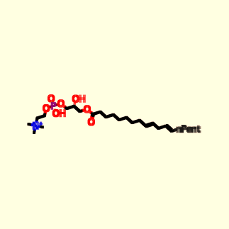 CCCCC/C=C/C/C=C/CCCCCCCC(=O)OC[C@@H](O)COP(=O)(O)OCC[N+](C)(C)C